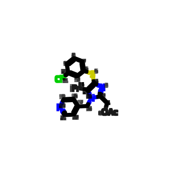 CC(=O)OCc1nc(Sc2cccc(Cl)c2)c(C(C)C)n1Cc1ccncc1